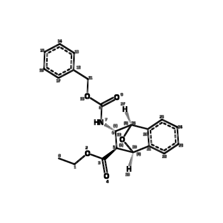 CCOC(=O)[C@H]1[C@H](NC(=O)OCc2ccccc2)[C@@H]2O[C@H]1c1ccccc12